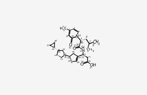 Cc1ccn([C@H](CC(C)C)C(=O)N[C@@H](CC(=O)O)C2=CSC(N3CC[C@H](C4CC4)C3)C2)c(=O)c1